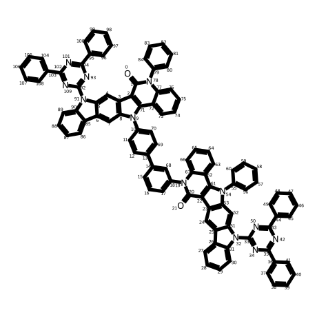 O=c1c2c3cc4c(cc3n(-c3ccc(-c5cccc(-n6c(=O)c7c8cc9c%10ccccc%10n(-c%10nc(-c%11ccccc%11)nc(-c%11ccccc%11)n%10)c9cc8n(-c8ccccc8)c7c7ccccc76)c5)cc3)c2c2ccccc2n1-c1ccccc1)c1ccccc1n4-c1nc(-c2ccccc2)nc(-c2ccccc2)n1